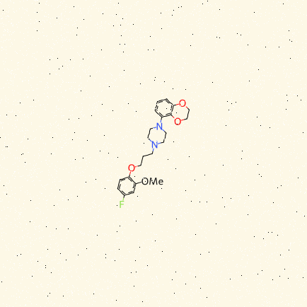 COc1cc(F)ccc1OCCCN1CCN(c2cccc3c2OCCO3)CC1